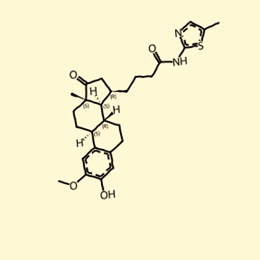 COc1cc2c(cc1O)CC[C@H]1[C@@H]3[C@H](CCCC(=O)Nc4ncc(C)s4)CC(=O)[C@@]3(C)CC[C@H]21